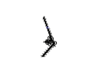 CCCCCCCC/C=C/CCCCCCCC(=O)OC(COC(=O)C(C)CCCCCCCCCCCCC)COP(=O)(OC)OCC